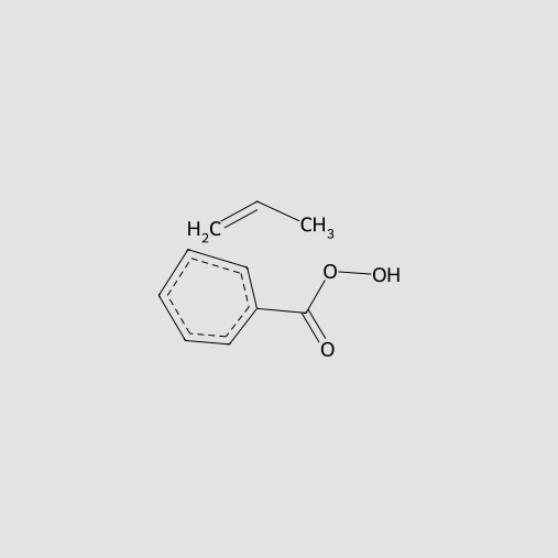 C=CC.O=C(OO)c1ccccc1